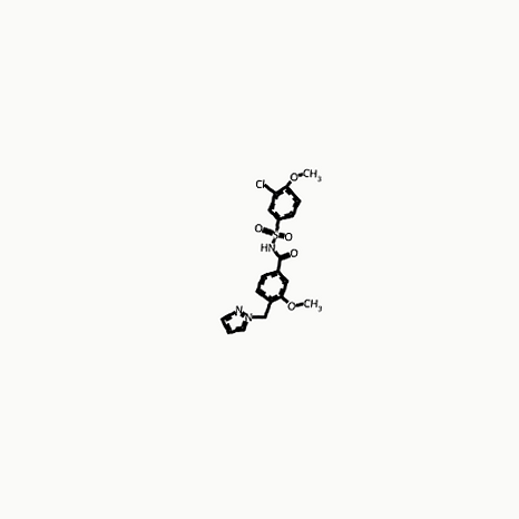 COc1ccc(S(=O)(=O)NC(=O)c2ccc(Cn3cccn3)c(OC)c2)cc1Cl